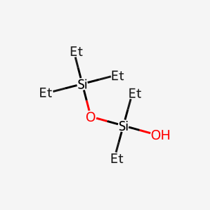 CC[Si](O)(CC)O[Si](CC)(CC)CC